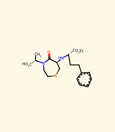 CCOC(=O)[C@H](CCc1ccccc1)N[C@H]1CSCCN([C@@H](C)C(=O)O)C1=O